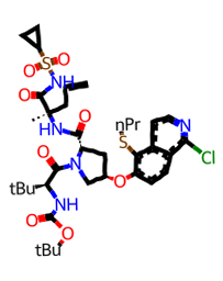 C=CC[C@@](C)(NC(=O)[C@@H]1C[C@@H](Oc2ccc3c(Cl)nccc3c2SCCC)CN1C(=O)[C@@H](NC(=O)OC(C)(C)C)C(C)(C)C)C(=O)NS(=O)(=O)C1CC1